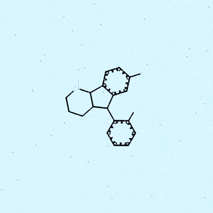 Oc1ccccc1C1c2cc(Cl)ccc2C2NCCCC21